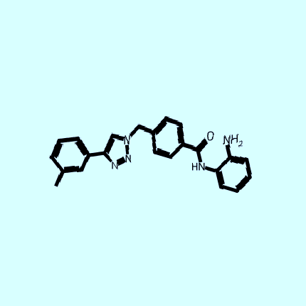 Cc1cccc(-c2cn(Cc3ccc(C(=O)Nc4ccccc4N)cc3)nn2)c1